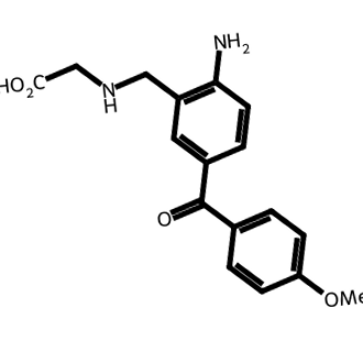 COc1ccc(C(=O)c2ccc(N)c(CNCC(=O)O)c2)cc1